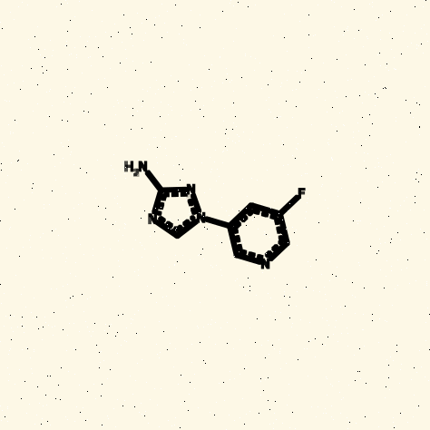 Nc1ncn(-c2cncc(F)c2)n1